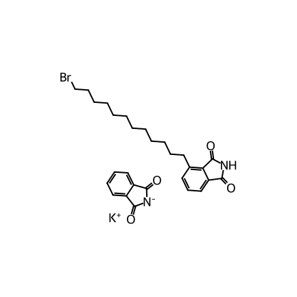 O=C1NC(=O)c2c(CCCCCCCCCCCCBr)cccc21.O=C1[N-]C(=O)c2ccccc21.[K+]